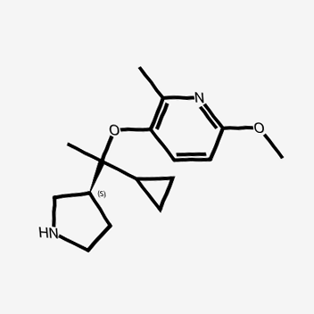 COc1ccc(OC(C)(C2CC2)[C@H]2CCNC2)c(C)n1